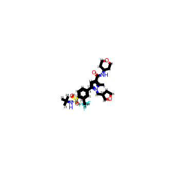 Cc1c(C(=O)NC2CCOCC2)cc(-c2ccc(S(=O)(=O)NC(C)(C)C)c(C(F)(F)F)c2)n1CC1CCOC1